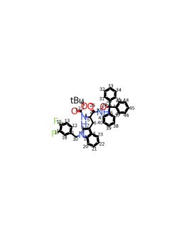 CC(C)(C)OC(=O)NC(Cc1cn(Cc2ccc(F)c(F)c2)c2ccccc12)C(=O)NOC(c1ccccc1)(c1ccccc1)c1ccccc1